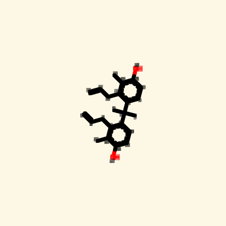 C=CCc1c(C(C)(C)c2ccc(O)c(C)c2CC=C)ccc(O)c1C